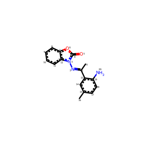 C/C(=N\n1c(=O)oc2ccccc21)c1cc(C)ccc1N